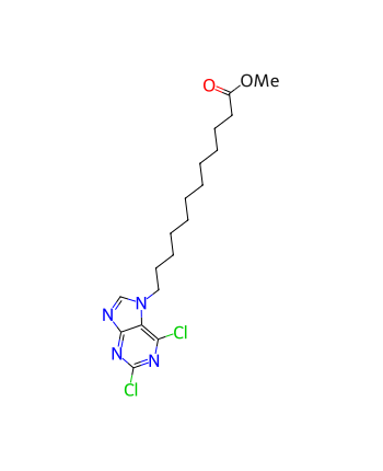 COC(=O)CCCCCCCCCCCn1cnc2nc(Cl)nc(Cl)c21